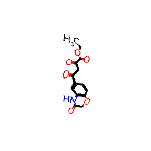 CCOC(=O)C(=O)CC(=O)c1ccc2c(c1)NC(=O)CO2